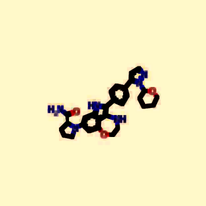 NC(=O)[C@@H]1CCCN1c1cc2c3c(c(-c4ccc(-c5ccnn5C5CCCCO5)cc4)[nH]c3c1)NCCO2